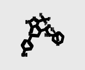 O=C(N[C@@H]1CN2CCC1CC2)c1cc(-c2ccc(O)cc2)nc2[nH]nc(C(F)(F)F)c12